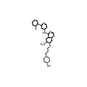 CCCN1CCN(CCCOc2cc3ncnc(Nc4ccnc(-c5ccccc5F)c4)c3cc2N)CC1